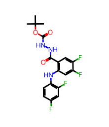 CC(C)(C)OC(=O)NNC(=O)c1cc(F)c(F)cc1Nc1ccc(F)cc1F